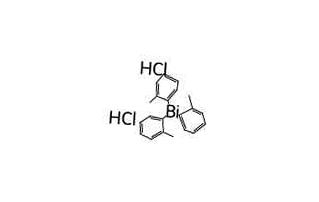 Cc1cccc[c]1[Bi]([c]1ccccc1C)[c]1ccccc1C.Cl.Cl